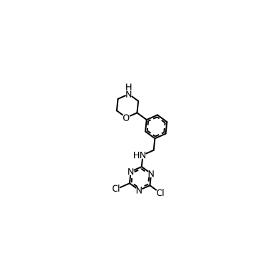 Clc1nc(Cl)nc(NCc2cccc(C3CNCCO3)c2)n1